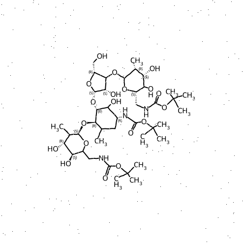 CC1[C@@H](O[C@@H]2C(C)C[C@@H](NC(=O)OC(C)(C)C)C(O)[C@H]2O[C@@H]2O[C@H](CO)C(OC3O[C@@H](CNC(=O)OC(C)(C)C)C(O)[C@@H](O)[C@H]3C)[C@@H]2O)OC(CNC(=O)OC(C)(C)C)[C@@H](O)[C@@H]1O